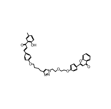 Cc1ccc(O)c(C(=O)C=Cc2ccc(OCCCCc3cn(CCOCCOc4ccc(-c5cc(=O)c6ccccc6o5)cc4)nn3)cc2)c1